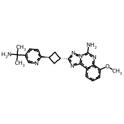 COc1cccc2c1nc(N)n1nc([C@H]3C[C@H](c4ccc(C(C)(C)N)cn4)C3)nc21